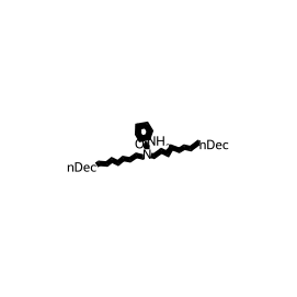 CCCCCCCCCCCCCCCCCCN(CCCCCCCCCCCCCCCCCC)C(N)=O.c1ccccc1